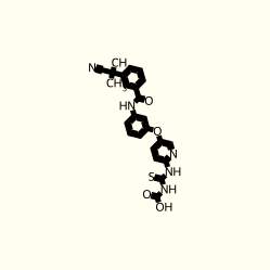 CC(C)(C#N)c1cccc(C(=O)Nc2cccc(Oc3ccc(NC(=S)NC(=O)O)nc3)c2)c1